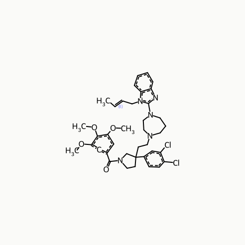 C/C=C/Cn1c(N2CCCN(CCC3(c4ccc(Cl)c(Cl)c4)CCN(C(=O)c4cc(OC)c(OC)c(OC)c4)C3)CC2)nc2ccccc21